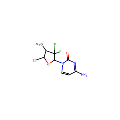 CCC1OC(n2ccc(N)nc2=O)C(F)(F)C1OC